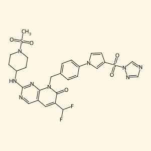 CS(=O)(=O)N1CCC(Nc2ncc3cc(C(F)F)c(=O)n(Cc4ccc(-n5ccc(S(=O)(=O)n6cncn6)c5)cc4)c3n2)CC1